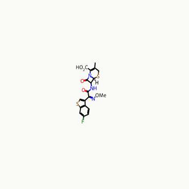 CON=C(C(=O)NC1C(=O)N2C(C(=O)O)=C(C)CS[C@@H]12)c1csc2cc(F)ccc12